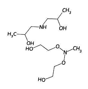 CC(O)CNCC(C)O.CN(OCCO)OCCO